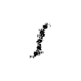 Cc1cc(N=Nc2ccc3cc(NOc4ccc(N)cc4)ccc3c2O)c(C)cc1N=Nc1ccc(N=Nc2ccc(CO)cc2S(=O)(=O)O)c(C)c1